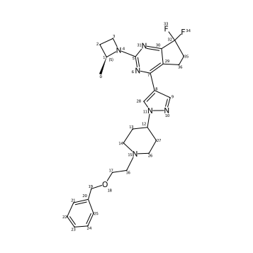 C[C@H]1CCN1c1nc(-c2cnn(C3CCN(CCOCc4ccccc4)CC3)c2)c2c(n1)C(F)(F)CC2